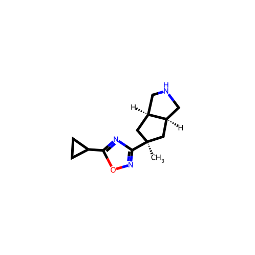 C[C@]1(c2noc(C3CC3)n2)C[C@H]2CNC[C@H]2C1